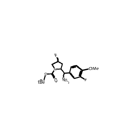 COc1ccc(C(N)C2CC(F)CN2C(=O)OC(C)(C)C)cc1F